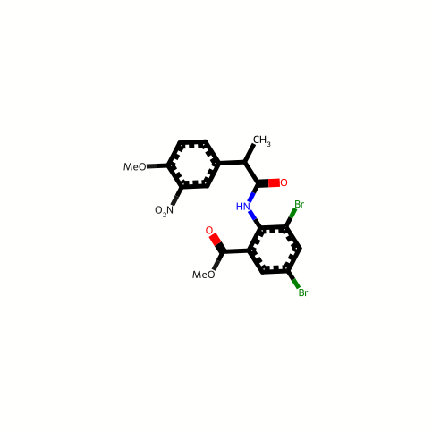 COC(=O)c1cc(Br)cc(Br)c1NC(=O)C(C)c1ccc(OC)c([N+](=O)[O-])c1